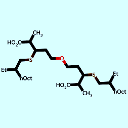 CCCCCCCCC(CC)CSC(CCOCCC(SCC(CC)CCCCCCCC)C(C)C(=O)O)C(C)C(=O)O